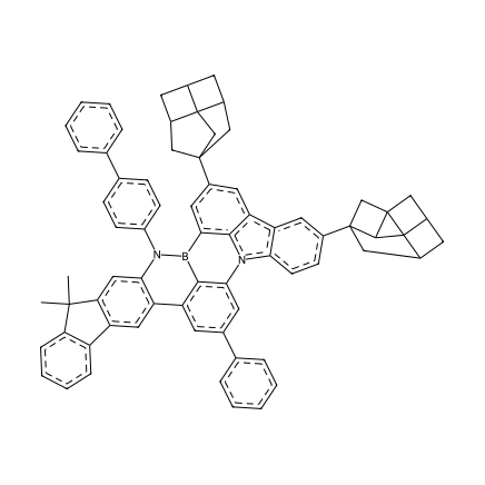 CC1(C)c2ccccc2-c2cc3c(cc21)N(c1ccc(-c2ccccc2)cc1)B1c2c-3cc(-c3ccccc3)cc2-n2c3ccc(C45CC6CC7CC8(C4)C5C678)cc3c3cc(C45CC6CC7CC(C4)C76C5)cc1c32